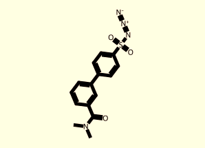 CN(C)C(=O)c1cccc(-c2ccc(S(=O)(=O)N=[N+]=[N-])cc2)c1